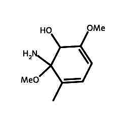 COC1=CC=C(C)C(N)(OC)C1O